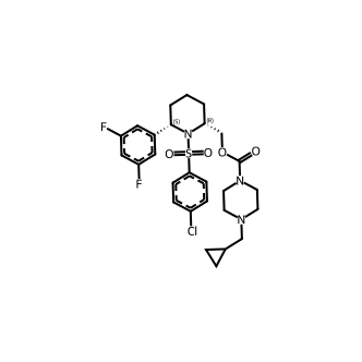 O=C(OC[C@H]1CCC[C@@H](c2cc(F)cc(F)c2)N1S(=O)(=O)c1ccc(Cl)cc1)N1CCN(CC2CC2)CC1